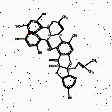 CC(C)=CC[C@@]12Oc3cc(O)c([C@H]4C=C(C)C[C@H](c5ccc(O)cc5O)[C@H]4C(=O)c4ccc(O)cc4O)c(O)c3C(=O)[C@]1(O)Oc1cc(O)ccc12